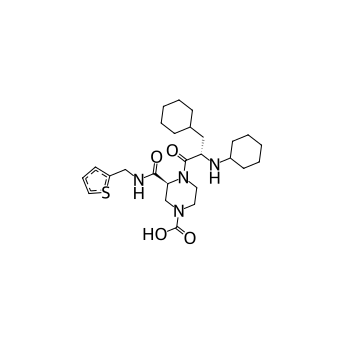 O=C(NCc1cccs1)[C@@H]1CN(C(=O)O)CCN1C(=O)[C@H](CC1CCCCC1)NC1CCCCC1